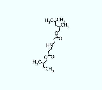 CCC(C)COC(=O)CCNCCC(=O)OCC(C)CC(C)C